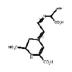 CCCC(/N=C\C=C1\C=C(C(=O)O)NC(C(=O)O)C1)C(=O)O